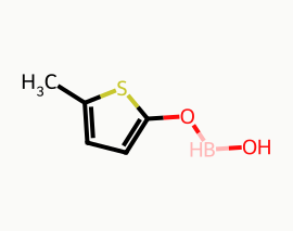 Cc1ccc(OBO)s1